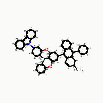 CC1C=Cc2c(c(-c3ccccc3)c3ccccc3c2-c2cc3c4c(c2)Oc2cc(-n5c6ccccc6c6ccccc65)ccc2B4c2ccccc2O3)C1